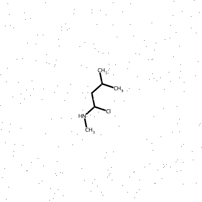 CNC(Cl)CC(C)C